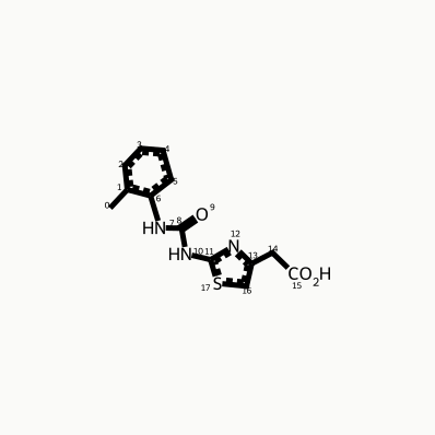 Cc1ccccc1NC(=O)Nc1nc(CC(=O)O)cs1